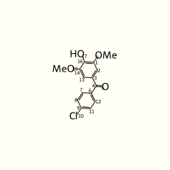 COc1cc(C(=O)c2ccc(Cl)cc2)cc(OC)c1O